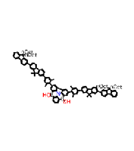 CCCCCCCCC1(CCCCCCCC)c2ccccc2-c2ccc(-c3ccc4c(c3)C(C)(C)c3cc(-c5cc(C)c(-c6cc7c8c(c6)c6cc(-c9c(C)cc(-c%10ccc%11c(c%10)C(C)(C)c%10cc(-c%12ccc%13c(c%12)C(CCCCCCCC)(CCCCCCCC)c%12ccccc%12-%13)ccc%10-%11)cc9C)cc9c6n8-c6c(cccc6B9O)B7O)c(C)c5)ccc3-4)cc21